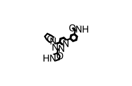 CNC(=O)c1cccc(-c2ccc3c(N4CC5CCC(C4)O5)nc(C4CNCCO4)nc3n2)c1